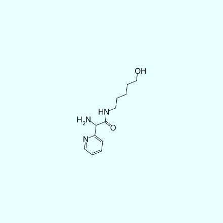 NC(C(=O)NCCCCCO)c1ccccn1